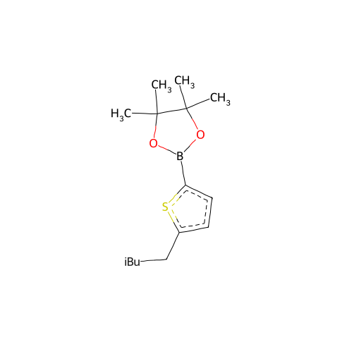 CCC(C)Cc1ccc(B2OC(C)(C)C(C)(C)O2)s1